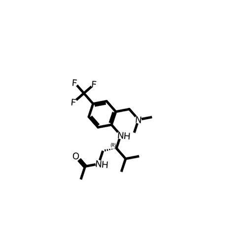 CC(=O)NC[C@H](Nc1ccc(C(F)(F)F)cc1CN(C)C)C(C)C